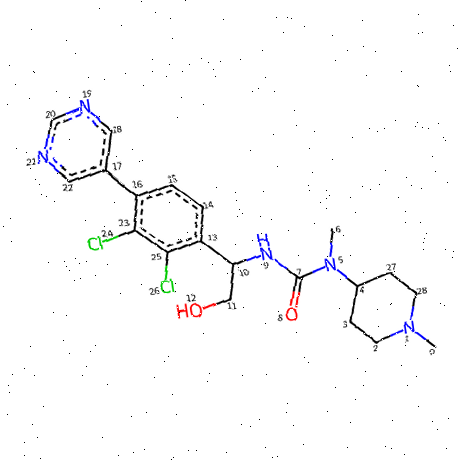 CN1CCC(N(C)C(=O)NC(CO)c2ccc(-c3cncnc3)c(Cl)c2Cl)CC1